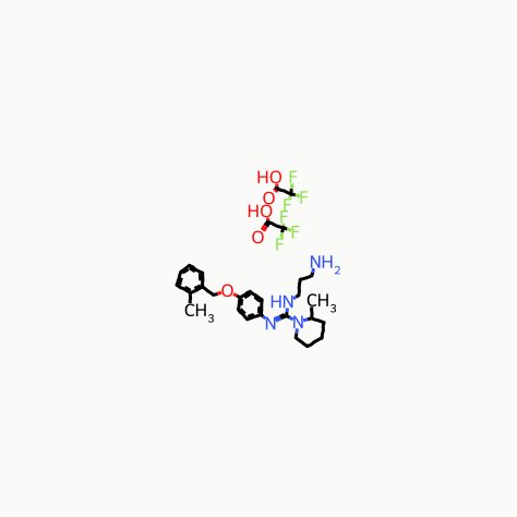 Cc1ccccc1COc1ccc(/N=C(\NCCCN)N2CCCCC2C)cc1.O=C(O)C(F)(F)F.O=C(O)C(F)(F)F